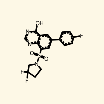 O=S(=O)(c1cc(-c2ccc(F)cc2)cc2c(O)ncnc12)N1CCC(F)(F)C1